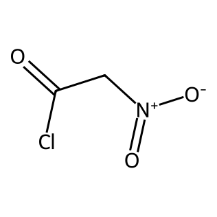 O=C(Cl)C[N+](=O)[O-]